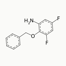 Nc1cc(F)cc(F)c1OCc1ccccc1